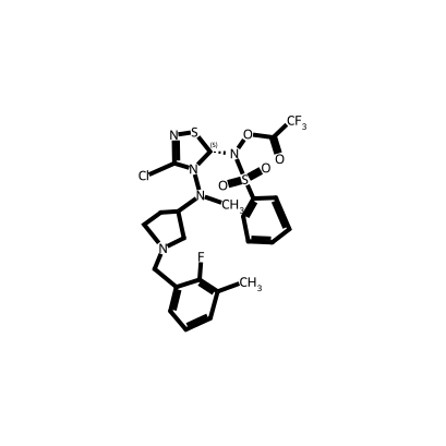 Cc1cccc(CN2CCC(N(C)N3C(Cl)=NS[C@@H]3N(OC(=O)C(F)(F)F)S(=O)(=O)c3ccccc3)C2)c1F